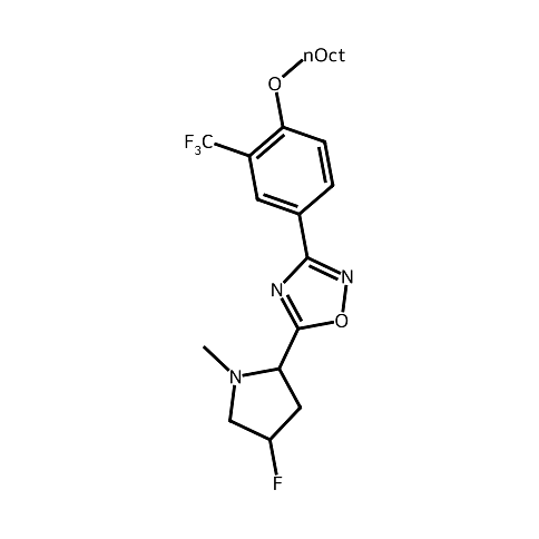 CCCCCCCCOc1ccc(-c2noc(C3CC(F)CN3C)n2)cc1C(F)(F)F